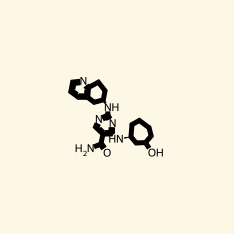 NC(=O)c1cnc(N[C@@H]2CCc3ncccc3C2)nc1N[C@@H]1CCCCC(O)C1